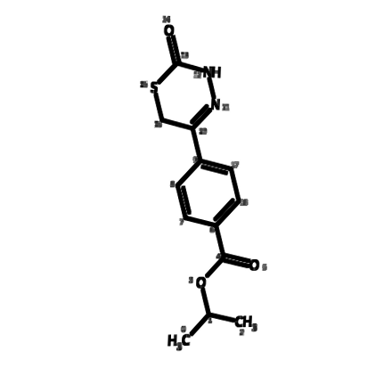 CC(C)OC(=O)c1ccc(C2=NNC(=O)SC2)cc1